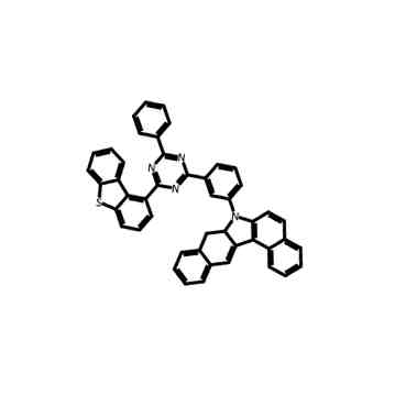 C1=C2c3c(ccc4ccccc34)N(c3cccc(-c4nc(-c5ccccc5)nc(-c5cccc6sc7ccccc7c56)n4)c3)C2Cc2ccccc21